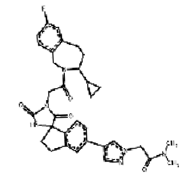 CN(C)C(=O)Cn1cc(-c2ccc3c(c2)CCC32NC(=O)N(CC(=O)N3Cc4ccc(F)cc4CCC3C3CC3)C2=O)cn1